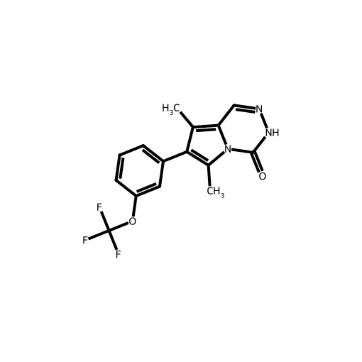 Cc1c(-c2cccc(OC(F)(F)F)c2)c(C)n2c(=O)[nH]ncc12